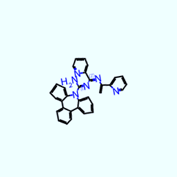 C=C(/N=C(\N=C(/N)N1c2ccccc2-c2ccccc2-c2ccccc21)c1ccccn1)c1ccccn1